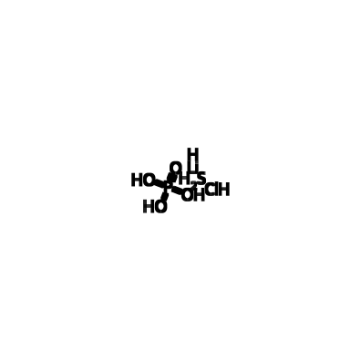 Cl.O=P(O)(O)O.S.[LiH]